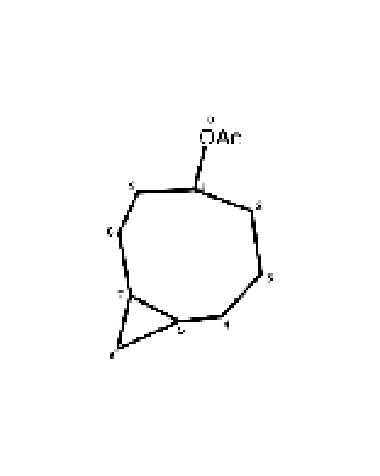 CC(=O)OC1CCCC2CC2CC1